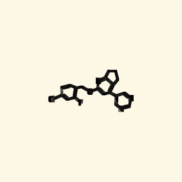 Fc1cc(Cl)ccc1COc1cc(-c2cncnc2)c2c(n1)CCC2